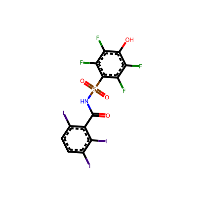 O=C(NS(=O)(=O)c1c(F)c(F)c(O)c(F)c1F)c1c(I)ccc(I)c1I